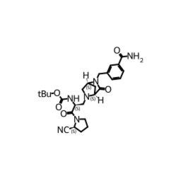 CC(C)(C)OC(=O)N[C@@H](CN1C[C@@H]2C[C@H]1C(=O)N2Cc1cccc(C(N)=O)c1)C(=O)N1CCC[C@H]1C#N